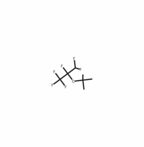 CC(C)(C)OC(F)(C(F)F)C(F)(F)F